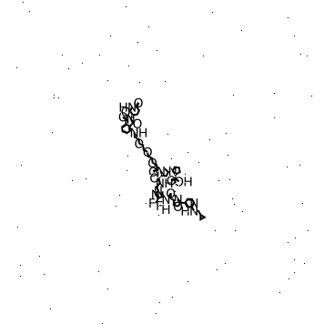 O=C1CCC(N2C(=O)c3cccc(NCCOCCOCCOCC(=O)N4C[C@H](N5CCC[C@H]5C(=O)O)C[C@H]4C(=O)NCn4cc(NC(=O)c5coc(-c6ccnc(NCC7CC7)c6)n5)c(C(F)F)n4)c3C2=O)C(=O)N1